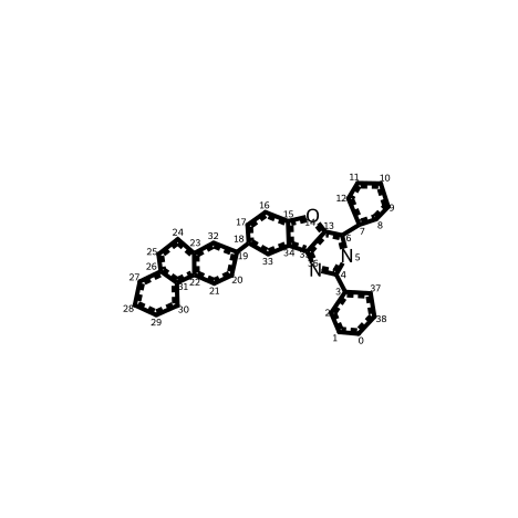 c1ccc(-c2nc(-c3ccccc3)c3oc4ccc(-c5ccc6c(ccc7ccccc76)c5)cc4c3n2)cc1